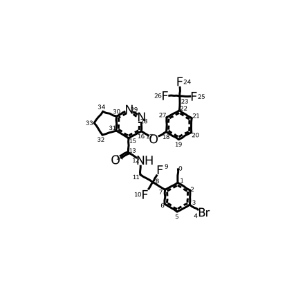 Cc1cc(Br)ccc1C(F)(F)CNC(=O)c1c(Oc2cccc(C(F)(F)F)c2)nnc2c1CCC2